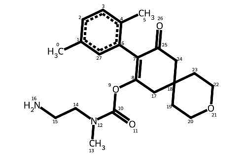 Cc1ccc(C)c(C2=C(OC(=O)N(C)CCN)CC3(CCOCC3)CC2=O)c1